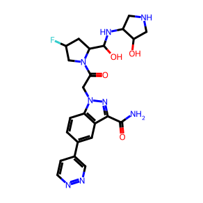 NC(=O)c1nn(CC(=O)N2CC(F)CC2C(O)NC2CNCC2O)c2ccc(-c3ccnnc3)cc12